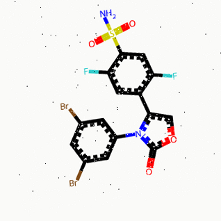 NS(=O)(=O)c1cc(F)c(-c2coc(=O)n2-c2cc(Br)cc(Br)c2)cc1F